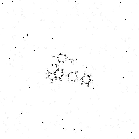 Cc1ccc(C(C)(C)C)cc1Nc1nc(N2CCC(c3cncnc3)CC2)nc2ncn(C)c12